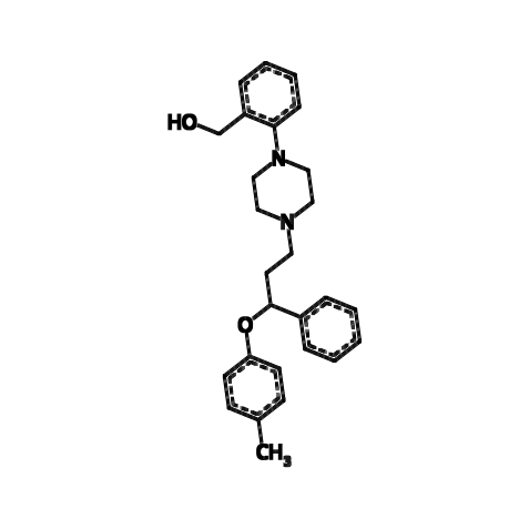 Cc1ccc(OC(CCN2CCN(c3ccccc3CO)CC2)c2ccccc2)cc1